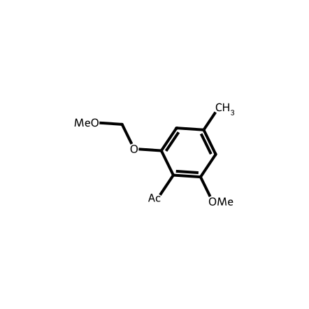 COCOc1cc(C)cc(OC)c1C(C)=O